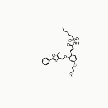 CCCCCS(=O)(=O)NC(=O)C=Cc1ccc(OCCOC)cc1OCc1nc(-c2ccccc2)oc1C